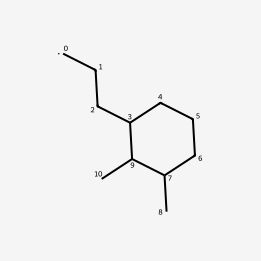 [CH2]CCC1CCCC(C)C1C